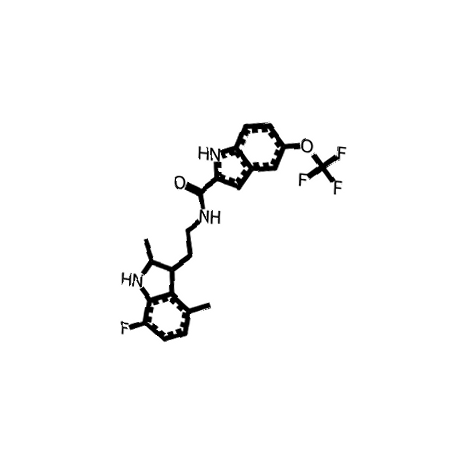 Cc1ccc(F)c2c1C(CCNC(=O)c1cc3cc(OC(F)(F)F)ccc3[nH]1)C(C)N2